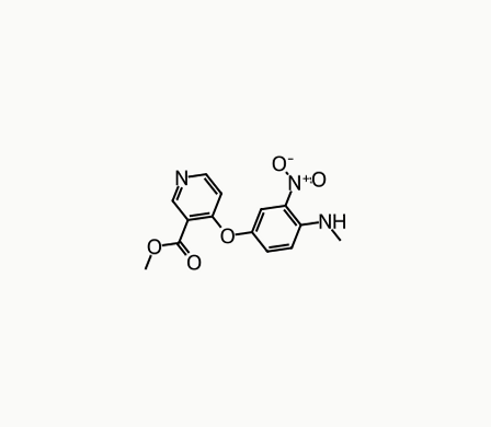 CNc1ccc(Oc2ccncc2C(=O)OC)cc1[N+](=O)[O-]